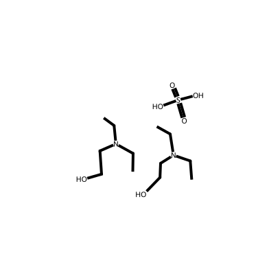 CCN(CC)CCO.CCN(CC)CCO.O=S(=O)(O)O